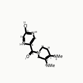 CNC1=C(NC)CN(C(=O)c2cnc(Cl)cn2)CC1